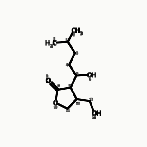 CC(C)CCC(O)C1C(=O)OCC1CO